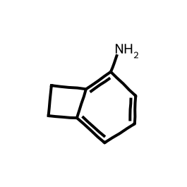 Nc1cccc2c1CC2